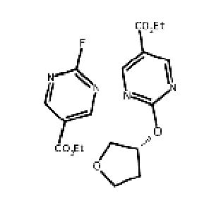 CCOC(=O)c1cnc(F)nc1.CCOC(=O)c1cnc(O[C@@H]2CCOC2)nc1